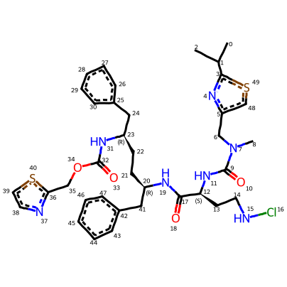 CC(C)c1nc(CN(C)C(=O)N[C@@H](CCNCl)C(=O)N[C@H](CC[C@H](Cc2ccccc2)NC(=O)OCc2nccs2)Cc2ccccc2)cs1